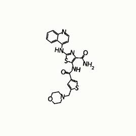 NC(=O)c1nc(Nc2ccnc3ccccc23)sc1NC(=O)c1csc(CN2CCOCC2)c1